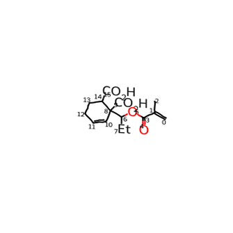 C=C(C)C(=O)OC(CC)C1(C(=O)O)C=CCCC1C(=O)O